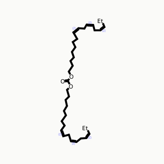 CC/C=C\C/C=C\C/C=C\CCCCCCCCOC(=O)OCCCCCCCC/C=C\C/C=C\C/C=C\CC